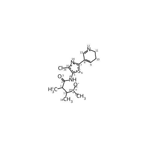 CC(C(=O)Nc1sc(C2=CCCN=C2)nc1Cl)C(C)[S+](C)[O-]